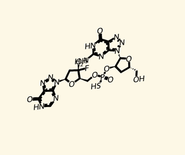 Nc1nc2c(nnn2[C@@H]2O[C@H](CO)C[C@H]2OP(=O)(S)OC[C@H]2O[C@@H](n3nnc4c(=O)[nH]cnc43)C[C@]2(O)F)c(=O)[nH]1